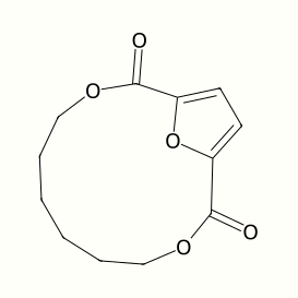 O=C1OCCCCCCOC(=O)c2ccc1o2